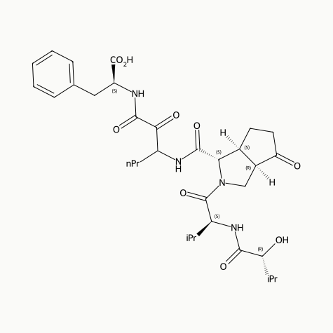 CCCC(NC(=O)[C@@H]1[C@H]2CCC(=O)[C@H]2CN1C(=O)[C@@H](NC(=O)[C@H](O)C(C)C)C(C)C)C(=O)C(=O)N[C@@H](Cc1ccccc1)C(=O)O